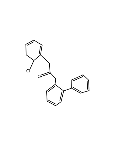 O=C(CC1=CC=CCC1Cl)Cc1ccccc1-c1ccccc1